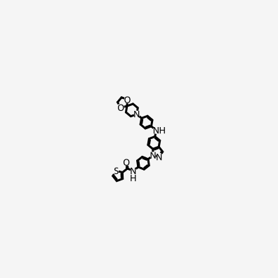 O=C(Nc1ccc(-n2ncc3cc(Nc4ccc(N5CCC6(CC5)OCCO6)cc4)ccc32)cc1)c1cccs1